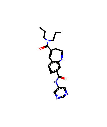 CCCN(CCC)C(=O)C1=Cc2ccc(C(=O)Nc3cncnc3)cc2N=CC1